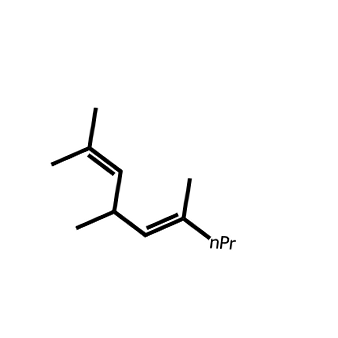 CCCC(C)=CC(C)C=C(C)C